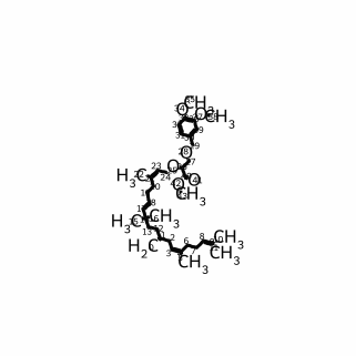 C=C(CC=C(C)CCC=C(C)C)CCC(C)(C)C=CCCC(C)=CCOC(COCc1ccc(OC)c(OC)c1)C(=O)OC